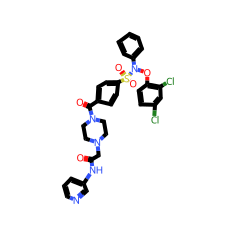 O=C(CN1CCN(C(=O)c2ccc(S(=O)(=O)N(Oc3ccc(Cl)cc3Cl)c3ccccc3)cc2)CC1)Nc1cccnc1